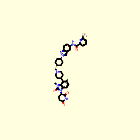 Cn1c(=O)n(C2CCC(=O)NC2=O)c2ccc(F)c(C3CCN(C[C@H]4CC[C@H](n5cc6cc(NC(=O)c7cccc(C(F)(F)F)n7)ccc6n5)CC4)CC3)c21